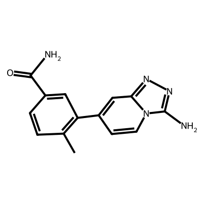 Cc1ccc(C(N)=O)cc1-c1ccn2c(N)nnc2c1